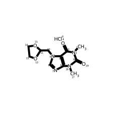 Cl.Cn1c(=O)c2c(ncn2CC2OCCO2)n(C)c1=O